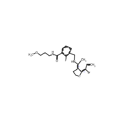 C=C/C(Br)=C1/OCC/C1=C(/C)NCc1cccc(C(=O)NCCCOC)c1F